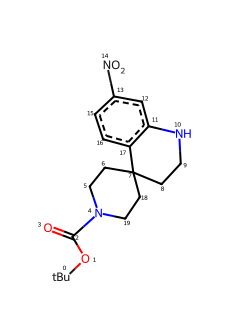 CC(C)(C)OC(=O)N1CCC2(CCNc3cc([N+](=O)[O-])ccc32)CC1